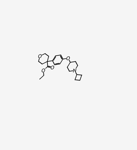 CCOC(=O)C1(c2ccc(OC3CCN(C4CCC4)CC3)cc2)CCOCC1